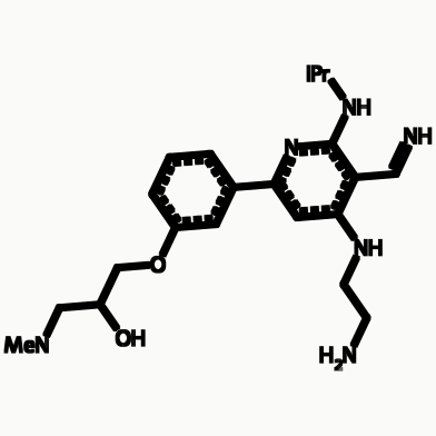 CNCC(O)COc1cccc(-c2cc(NCCN)c(C=N)c(NC(C)C)n2)c1